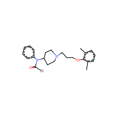 CCC(=O)N(c1ccccc1)C1CCN(CCCOc2c(C)cccc2C)CC1